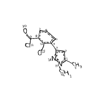 Cc1cc(-c2cccc(C(=O)Cl)c2Cl)nn1C